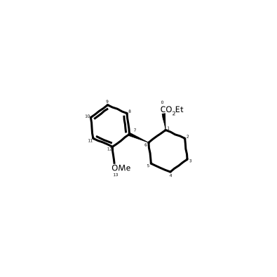 CCOC(=O)[C@H]1CCCC[C@H]1c1ccccc1OC